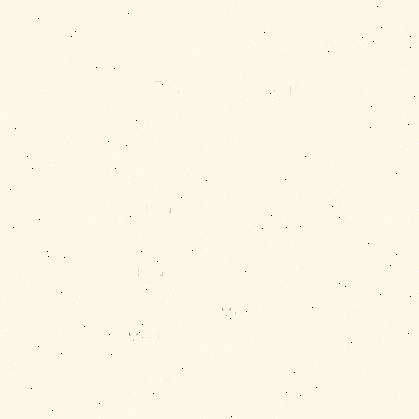 COC(OC)[SiH2]C[SiH2]CCC(CC(=O)O)C(=O)O